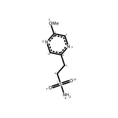 COc1cnc(CCS(N)(=O)=O)cn1